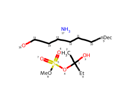 CCC(C)(O)OS(=O)(=O)OC.CCCCCCCCCCCCCCCC[O].N